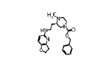 CN1CCN(C(=O)OCc2ccccc2)C[C@H]1CCNc1ccc2c(n1)CCO2